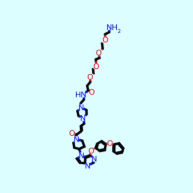 NCCOCCOCCOCCOCCC(=O)NCCN1CCN(C/C=C/C(=O)N2CCC(n3ccc4ncnc(Oc5ccc(Oc6ccccc6)cc5)c43)CC2)CC1